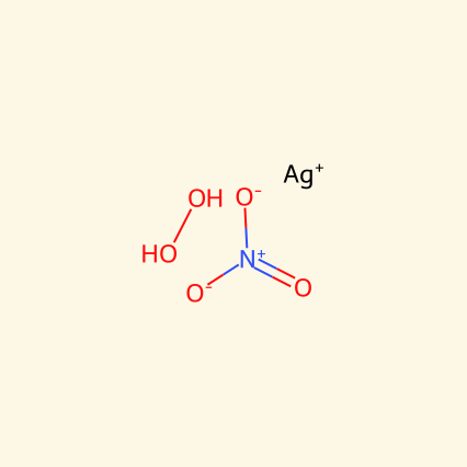 O=[N+]([O-])[O-].OO.[Ag+]